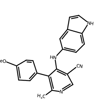 COc1ccc(-c2c(C)ncc(C#N)c2Nc2ccc3[nH]ccc3c2)cc1